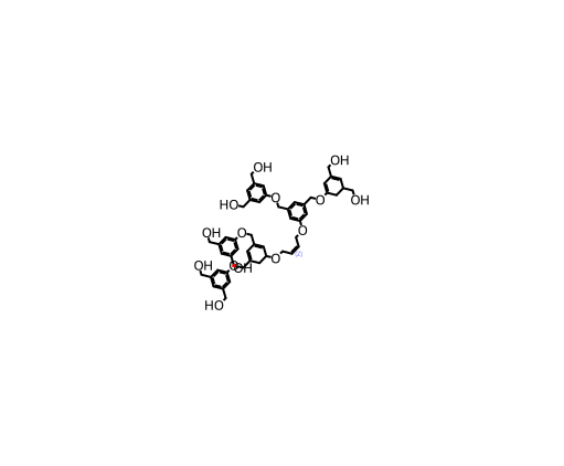 OCC1=CC(CO)CC(OCc2cc(COc3cc(CO)cc(CO)c3)cc(OC/C=C\COC3C=C(COc4cc(CO)cc(CO)c4)C=C(COc4cc(CO)cc(CO)c4)C3)c2)=C1